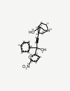 O=[N+]([O-])c1ccc(C(O)(C#CC2(O)CN3CCC2CC3)c2ccccc2)o1